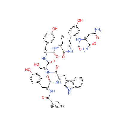 CC(=O)N[C@@H](CC(C)C)C(=O)N[C@@H](Cc1ccc(O)cc1)C(=O)N[C@@H](Cc1c[nH]c2ccccc12)C(=O)N[C@@H](CO)C(=O)N[C@@H](Cc1ccc(O)cc1)C(=O)N[C@@H](CC(C)C)C(=O)N[C@@H](Cc1ccc(O)cc1)C(=O)N[C@@H](CC(N)=O)C(N)=O